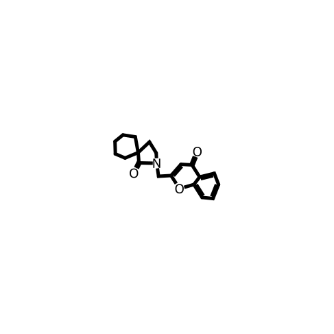 O=C1N(Cc2cc(=O)c3ccccc3o2)CCC12CCCCC2